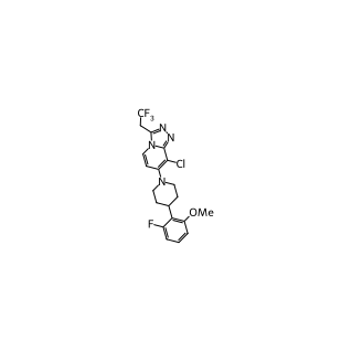 COc1cccc(F)c1C1CCN(c2ccn3c(CC(F)(F)F)nnc3c2Cl)CC1